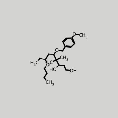 CCCCO[C@@H](CC)C[C@@H](OCc1ccc(OC)cc1)C(C)(C)[C@H](O)CCO